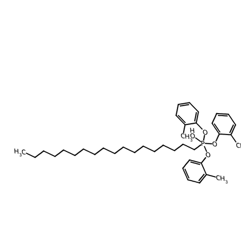 CCCCCCCCCCCCCCCCCCP(O)(Oc1ccccc1C)(Oc1ccccc1C)Oc1ccccc1C